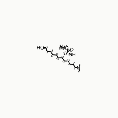 CCOP(=O)([O-])O.CN(C)CCCCCCCCCCCCO.[Na+]